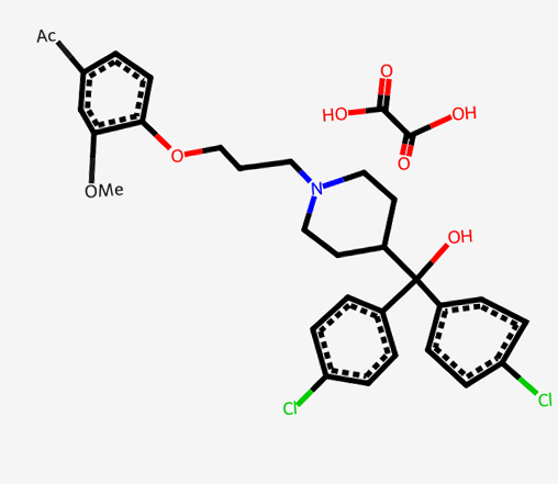 COc1cc(C(C)=O)ccc1OCCCN1CCC(C(O)(c2ccc(Cl)cc2)c2ccc(Cl)cc2)CC1.O=C(O)C(=O)O